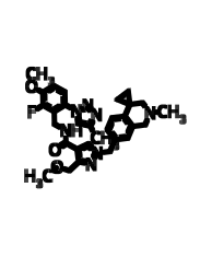 COCc1nn(Cc2ccc3c(c2)CN(C)CC32CC2)cc1C(=O)NCc1c(-n2cc(C)nn2)ccc(OC)c1F